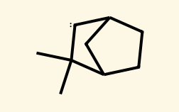 CC1(C)[C]C2CCC1C2